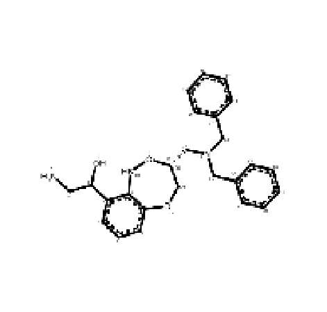 NCC(O)c1cccc2c1BO[C@H](CN(Cc1ccccc1)Cc1ccccc1)CO2